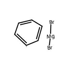 [Br][Mg][Br].[c]1ccccc1